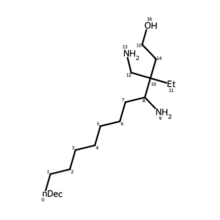 CCCCCCCCCCCCCCCCCC(N)C(CC)(CN)CCO